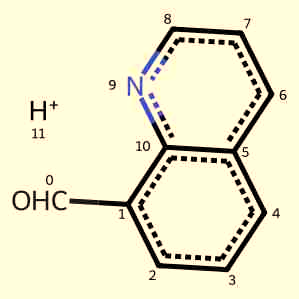 O=Cc1cccc2cccnc12.[H+]